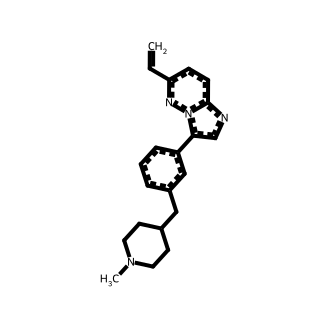 C=Cc1ccc2ncc(-c3cccc(CC4CCN(C)CC4)c3)n2n1